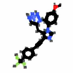 COc1ccc2c(c1)N(N)/C(=C\N)Cc1c(C#Cc3ccc(C(F)(F)F)cc3)ncn1-2